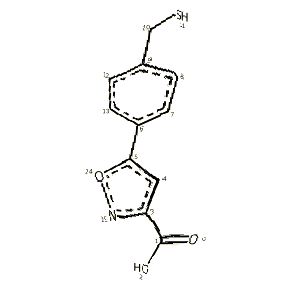 O=C(O)c1cc(-c2ccc(CS)cc2)on1